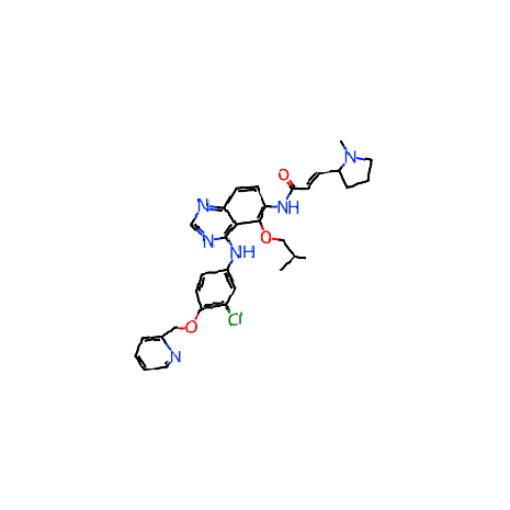 CC(C)COc1c(NC(=O)C=CC2CCCN2C)ccc2ncnc(Nc3ccc(OCc4ccccn4)c(Cl)c3)c12